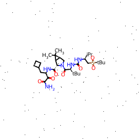 CC(C)[C@@H](CS(=O)(=O)C(C)(C)C)NC(=O)N[C@H](C(=O)N1CC2C([C@H]1C(=O)NC(CC1CCC1)C(=O)C(N)=O)C2(C)C)C(C)(C)C